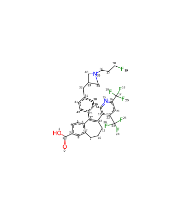 O=C(O)c1ccc2c(c1)CCCC(c1cnc(C(F)(F)F)cc1C(F)(F)F)=C2c1ccc(CC2CN(CCCF)C2)cc1